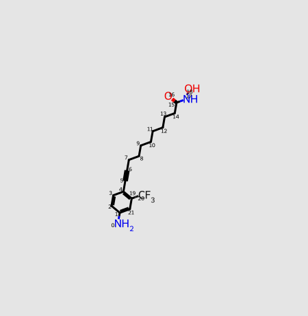 Nc1ccc(C#CCCCCCCCCC(=O)NO)c(C(F)(F)F)c1